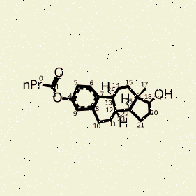 CCCC(=O)Oc1ccc2c(c1)CC[C@@H]1[C@@H]2CC[C@]2(C)[C@@H](O)CC[C@@H]12